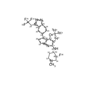 [2H]C([2H])([2H])Oc1nc(N[C@H]2CCN(C)C[C@H]2F)nn2ccc(-c3ccc4nnn(CC(F)(F)F)c4c3)c12